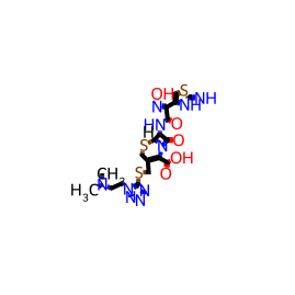 CN(C)CCn1nnnc1SCC1=C(C(=O)O)N2C(=O)C(NC(=O)C(=NO)c3csc(=N)[nH]3)[C@@H]2SC1